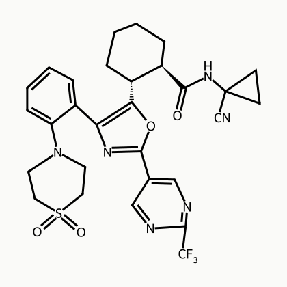 N#CC1(NC(=O)[C@@H]2CCCC[C@H]2c2oc(-c3cnc(C(F)(F)F)nc3)nc2-c2ccccc2N2CCS(=O)(=O)CC2)CC1